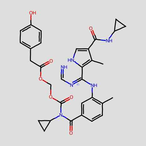 Cc1ccc(C(=O)N(C(=O)OCOC(=O)Cc2ccc(O)cc2)C2CC2)cc1N/C(=N/C=N)c1[nH]cc(C(=O)NC2CC2)c1C